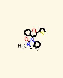 CN(C)C(=O)N(/C(=C/C(=O)c1cccs1)c1ccccc1)c1ccccc1